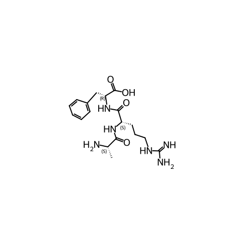 C[C@H](N)C(=O)N[C@@H](CCCNC(=N)N)C(=O)N[C@H](Cc1ccccc1)C(=O)O